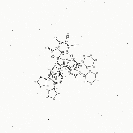 O=C1OC(C=C(c2ccc(C3CCCCC3)cc2)c2ccc(N3CCCC3)cc2)(C=C(c2ccc(C3CCCCC3)cc2)c2ccc(N3CCCC3)cc2)c2c(Cl)c(Cl)c(Cl)c(Cl)c21